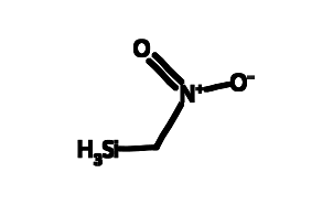 O=[N+]([O-])C[SiH3]